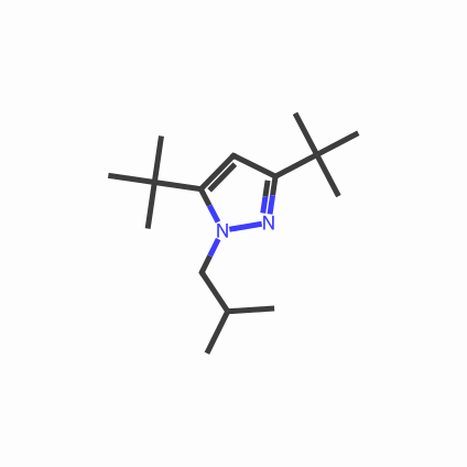 CC(C)Cn1nc(C(C)(C)C)cc1C(C)(C)C